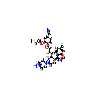 COc1cc(C#N)ccc1OCCCC1CN(N2CCNCC2)CCC1c1noc2cc(F)ccc12